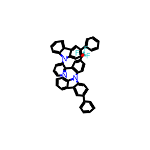 FC(F)(F)c1ccc(-n2c3ccccc3c3cc(-c4ccccc4)ccc32)c(-c2ncccc2-n2c3ccccc3c3cc(-c4ccccc4)ccc32)c1